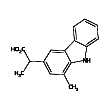 Cc1cc(C(C)C(=O)O)cc2c1[nH]c1ccccc12